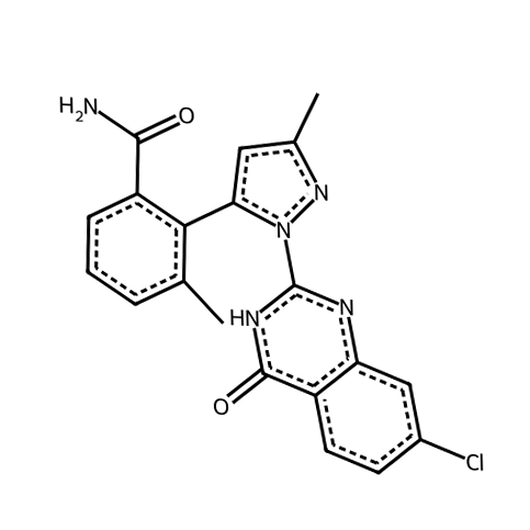 Cc1cc(-c2c(C)cccc2C(N)=O)n(-c2nc3cc(Cl)ccc3c(=O)[nH]2)n1